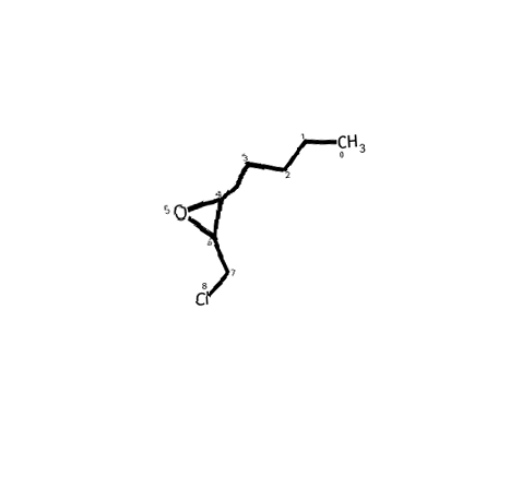 CCCCC1OC1CCl